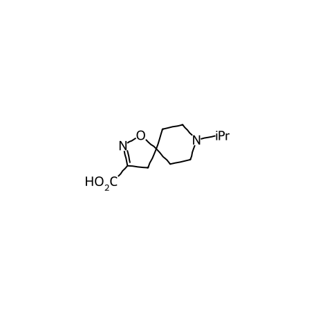 CC(C)N1CCC2(CC1)CC(C(=O)O)=NO2